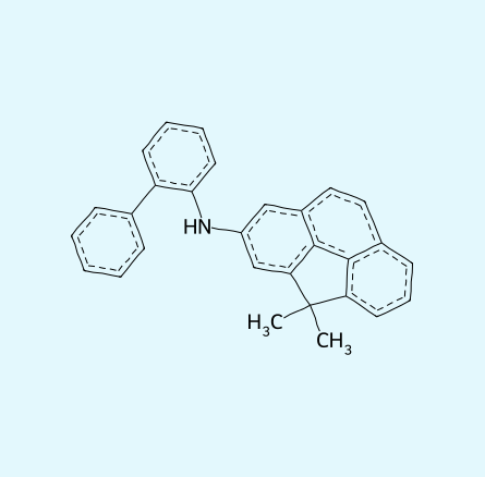 CC1(C)c2cccc3ccc4cc(Nc5ccccc5-c5ccccc5)cc1c4c23